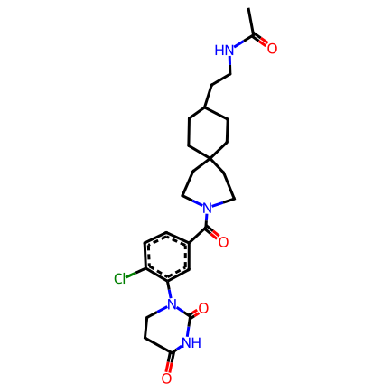 CC(=O)NCCC1CCC2(CC1)CCN(C(=O)c1ccc(Cl)c(N3CCC(=O)NC3=O)c1)CC2